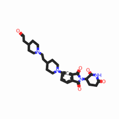 O=CCC1CCN(CCC2CCN(c3ccc4c(c3)C(=O)N(C3CCC(=O)NC3=O)C4=O)CC2)CC1